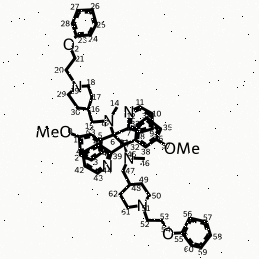 COc1cccc(C(c2ccccn2)(N(C)CC2CCN(CCOc3ccccc3)CC2)[C@](c2cccc(OC)c2)(c2ccccn2)N(C)CC2CCN(CCOc3ccccc3)CC2)c1